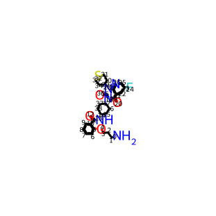 NCCCOc1ccccc1C(=O)NC1CCC(n2c(=O)c3cc(F)cnc3n(C3CCSCC3)c2=O)CC1